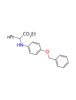 CCCC(Nc1ccc(OCc2ccccc2)cc1)C(=O)OCC